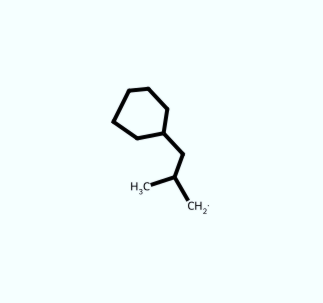 [CH2]C(C)CC1CCCCC1